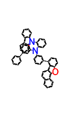 c1ccc(-c2cccc(N(c3cccc(-c4cccc5oc6c7ccccc7ccc6c45)c3)c3ccccc3-n3c4ccccc4c4ccccc43)c2)cc1